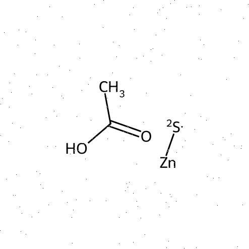 CC(=O)O.[2S][Zn]